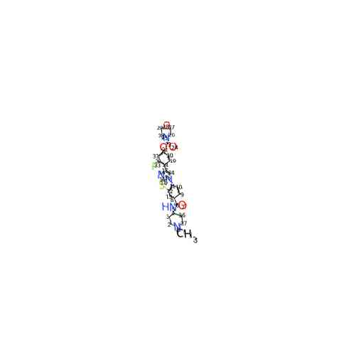 CN1CCC(NC(=O)c2ccc3c(c2)sc2nc(-c4ccc(OC(=O)N5CCOCC5)cc4F)cn23)CC1